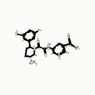 C[C@@H]1CCC(c2cc(F)cc(Cl)c2)N(C(=O)C(=O)Nc2cncc(C(N)=O)c2)C1